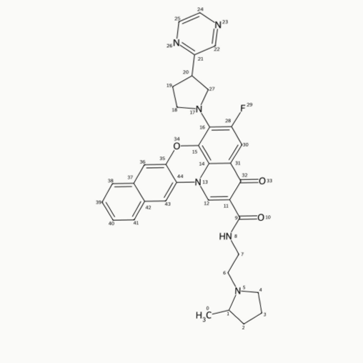 CC1CCCN1CCNC(=O)c1cn2c3c(c(N4CCC(c5cnccn5)C4)c(F)cc3c1=O)Oc1cc3ccccc3cc1-2